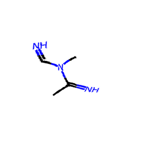 CC(=N)N(C)C=N